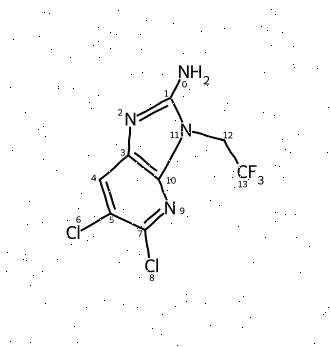 Nc1nc2cc(Cl)c(Cl)nc2n1CC(F)(F)F